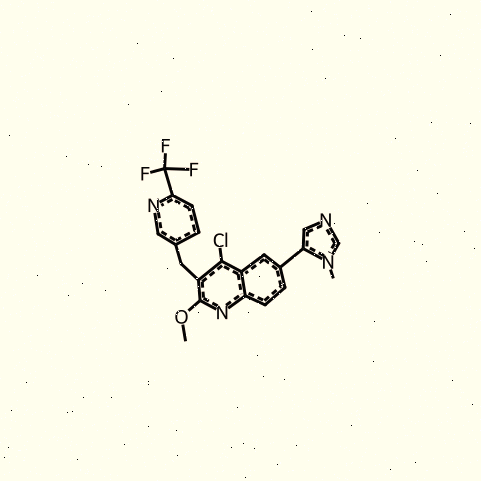 COc1nc2ccc(-c3cncn3C)cc2c(Cl)c1Cc1ccc(C(F)(F)F)nc1